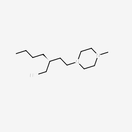 CCCC[C@H](CO)CCN1CCN(C)CC1